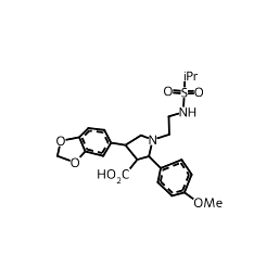 COc1ccc(C2C(C(=O)O)C(c3ccc4c(c3)OCO4)CN2CCNS(=O)(=O)C(C)C)cc1